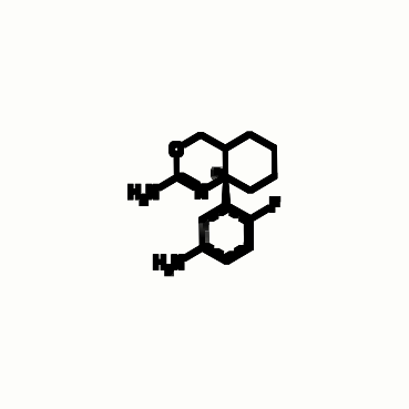 NC1=N[C@@]2(c3cc(N)ccc3F)CCCCC2CO1